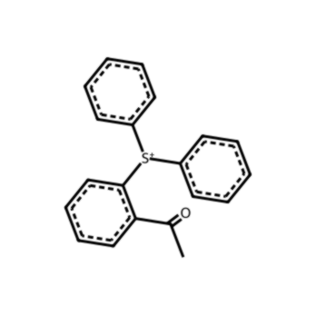 CC(=O)c1ccccc1[S+](c1ccccc1)c1ccccc1